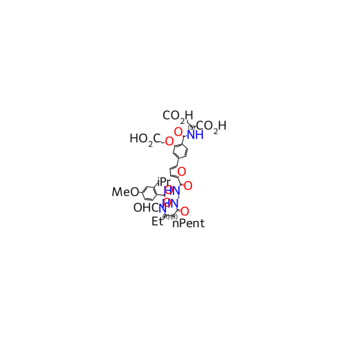 CCCCC[C@@H](C(=O)NCNC(=O)c1ccc(-c2ccc(C(=O)N[C@@H](CC(=O)O)C(=O)O)c(OCC(=O)O)c2)o1)[C@@H](CC)N(C=O)OC(=O)c1ccc(OC)cc1C(C)C